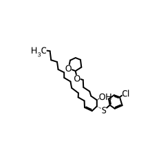 CCCCCCCCCCCC/C=C\[C@@H](Sc1ccc(Cl)cc1)[C@@H](O)CCCCOC1CCCCO1